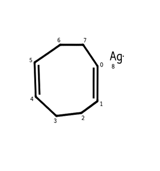 C1=CCCC=CCC1.[Ag]